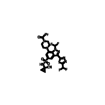 CC(C)C(=O)N1CCN(c2cc(S(=O)(=O)NC3(C#N)CC3)cc3c(-c4nnc(C(F)F)s4)nn(C(F)F)c23)CC1